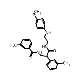 COc1ccc(NCCNC(=O)C(CNC(=O)c2cccc(C)c2)c2cccc(C)c2)cc1